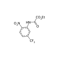 CCOC(=O)C(=O)Nc1cc(C(F)(F)F)ccc1[N+](=O)[O-]